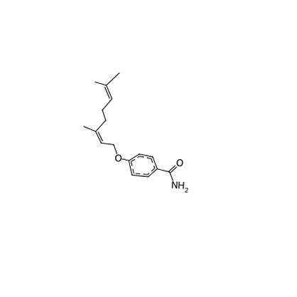 CC(C)=CCCC(C)=CCOc1ccc(C(N)=O)cc1